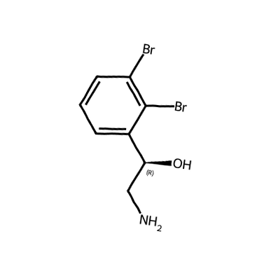 NC[C@H](O)c1cccc(Br)c1Br